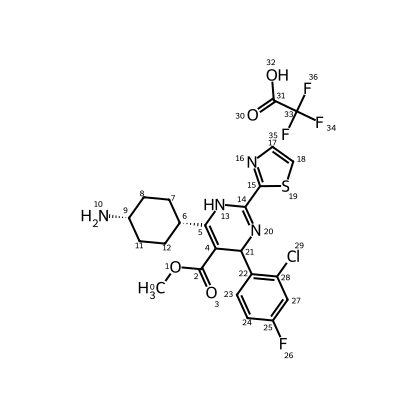 COC(=O)C1=C([C@H]2CC[C@@H](N)CC2)NC(c2nccs2)=NC1c1ccc(F)cc1Cl.O=C(O)C(F)(F)F